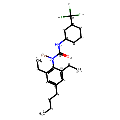 CCCCc1cc(CC)c(N(S)C(=O)NC2CCCC(C(F)(F)F)C2)c(CC)c1